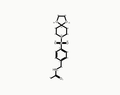 CC(=O)NCc1ccc(S(=O)(=O)N2CCC3(CC2)OCCO3)cc1